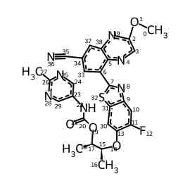 COc1cnc2c(-c3nc4cc(F)c(O[C@@H](C)[C@@H](C)OC(=O)Nc5cnc(C)nc5)cc4s3)cc(C#N)cc2n1